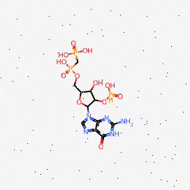 Nc1nc2c(ncn2C2OC(COP(=O)(O)CP(=O)(O)O)C(O)C2O[PH](=O)O)c(=O)[nH]1